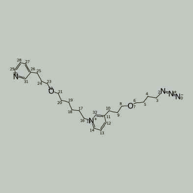 [N-]=[N+]=NCCCCOCCCc1ccc[n+](CCCCCCOCCCc2cccnc2)c1